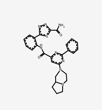 NC(=O)c1nnc(-c2ccccc2NC(=O)c2cc(N3CCN4CCCC4C3)nc(-c3ccccc3)n2)s1